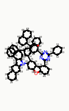 c1ccc(-c2cc(-c3ccccc3)cc(-c3cc4c(cc3-n3c5cc6ccccc6cc5c5c6ccccc6ccc53)oc3cccc(-c5nc(-c6ccccc6)nc(-c6ccc(-c7cccc8ccccc78)cc6)n5)c34)c2)cc1